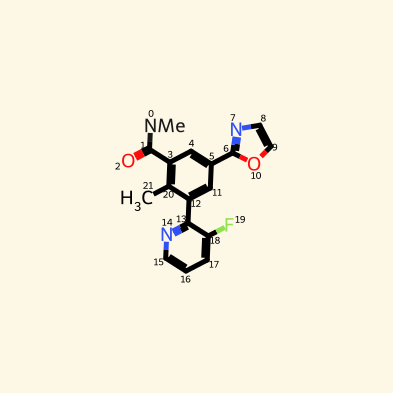 CNC(=O)c1cc(-c2ncco2)cc(-c2ncccc2F)c1C